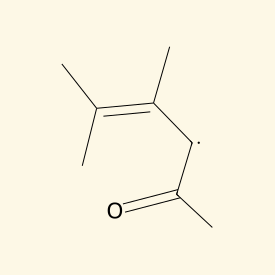 CC(=O)[CH]C(C)=C(C)C